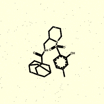 Cc1ccc(S(=O)(=O)N2CCCCC2CNC(=O)C23CC4CC(CC(C4)C2)C3)c(O)c1